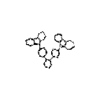 C1=Cc2c(c3ccccc3n2-c2ccc(-c3ccccc3-c3ccc(-n4c5c(c6ccccc64)CCC=CC5)cc3)cc2)CC1